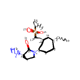 CO[C@@H]1CC[C@H](N2CC[C@H](N)C2=O)[C@@H](CS(C)(=O)=O)C1